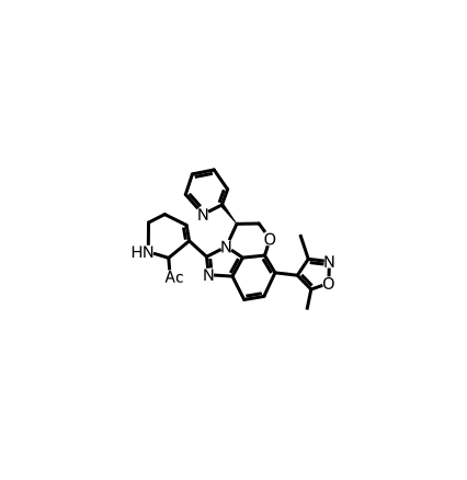 CC(=O)C1NCCC=C1c1nc2ccc(-c3c(C)noc3C)c3c2n1[C@@H](c1ccccn1)CO3